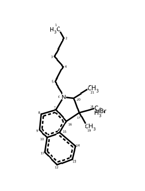 Br.CCCCCN1c2ccc3ccccc3c2C(C)(C)C1C